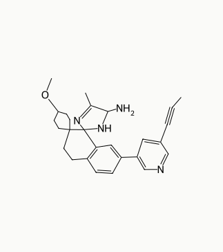 CC#Cc1cncc(-c2ccc3c(c2)C2(N=C(C)C(N)N2)C2(CC3)CCC(OC)CC2)c1